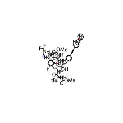 COC(=O)N[C@H](C(=O)NN(Cc1c(F)cc(C(=N)/C=C\NC(F)F)cc1F)C[C@H](O)[C@H](Cc1ccc(C#Cc2ccc(N3CC4CC(C3)N4C3COC3)nc2)cc1)NC(=O)[C@@H](NC(=O)OC)C(C)(C)C(F)(F)F)C(C)(C)C